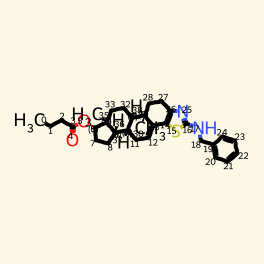 CCCC(=O)O[C@H]1CC[C@H]2[C@@H]3CC=C4c5sc(NCc6ccccc6)nc5CC[C@]4(C)[C@H]3CC[C@]12C